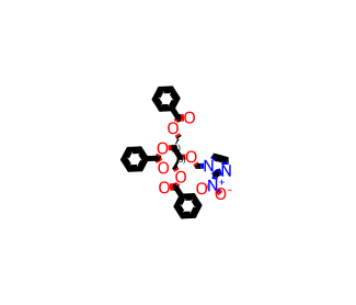 O=C(OC[C@H](OCn1ccnc1[N+](=O)[O-])[C@@H](COC(=O)c1ccccc1)OC(=O)c1ccccc1)c1ccccc1